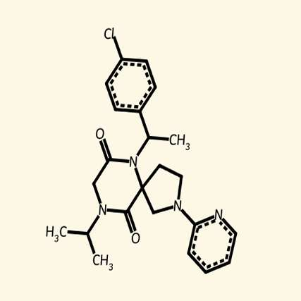 CC(C)N1CC(=O)N(C(C)c2ccc(Cl)cc2)C2(CCN(c3ccccn3)C2)C1=O